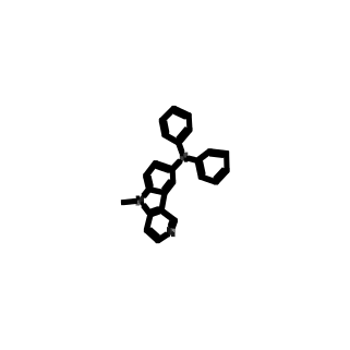 Cn1c2ccncc2c2cc(N(c3ccccc3)c3ccccc3)ccc21